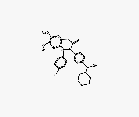 COc1cc2c(cc1OC(C)C)[C@H](c1ccc(Cl)cc1)N(c1ccc(C(O)C3CCCCC3)cc1)C(=O)C2